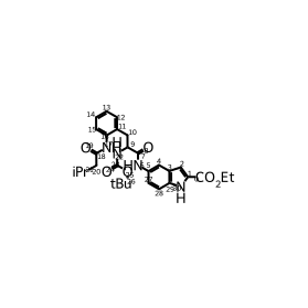 CCOC(=O)c1cc2cc(NC(=O)C(Cc3ccccc3NC(=O)CC(C)C)NC(=O)OC(C)(C)C)ccc2[nH]1